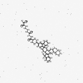 CCc1cc2c(cc1C1CCCCC1)C1=C(C3C=CC(c4ccccc4)(c4ccc(C5CCC(C(=O)CCC(=O)CCCCC(=O)C(C)=O)CC5)cc4)CC23)C(C)(C)c2ccccc21